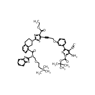 [C-]#[N+]c1c(-c2cccc(OCC#Cc3sc(N4CCc5cccc(C(=O)N(COCC[Si](C)(C)C)c6nc7ccccc7s6)c5C4)nc3C(=O)OCC)c2)nn(C(=O)OC(C)(C)C)c1N